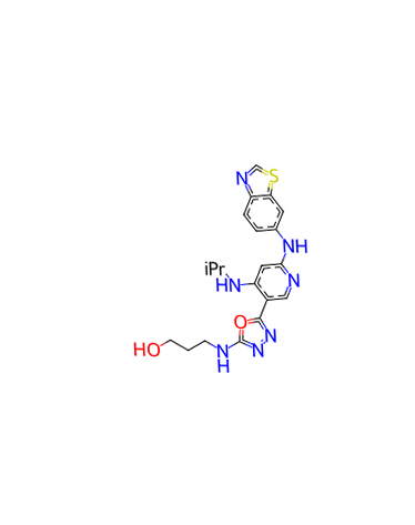 CC(C)Nc1cc(Nc2ccc3ncsc3c2)ncc1-c1nnc(NCCCO)o1